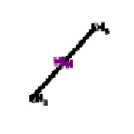 CCCCCCCCCCCCCCCCCCPPCCCCCCCCCCCCCCCCCC